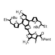 CCCCCC(=O)c1sc2c(-c3cc4c(-c5ccc(CC(CC)CCCC)s5)c5sc(C)cc5c(-c5ccc(CC(CC)CCCC)s5)c4s3)sc(C)c2c1F